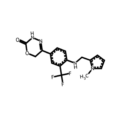 Cn1cccc1CNc1ccc(C2=NNC(=O)OC2)cc1C(F)(F)F